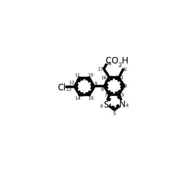 Cc1cc2ncsc2c(-c2ccc(Cl)cc2)c1CC(=O)O